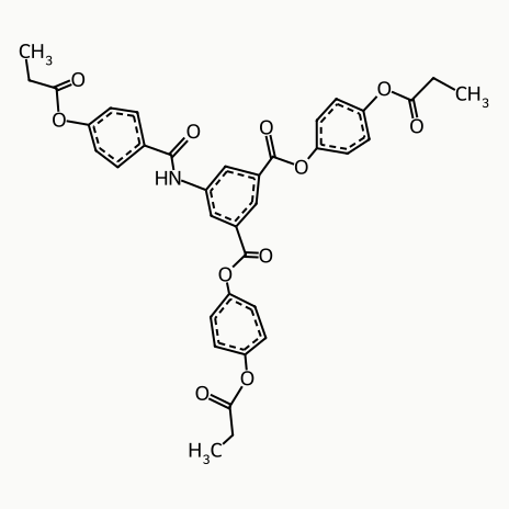 CCC(=O)Oc1ccc(OC(=O)c2cc(NC(=O)c3ccc(OC(=O)CC)cc3)cc(C(=O)Oc3ccc(OC(=O)CC)cc3)c2)cc1